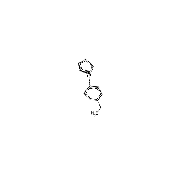 CCc1ccc(-n2cccc2)cc1